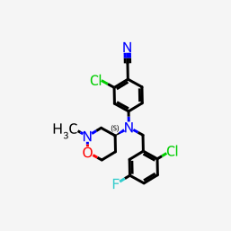 CN1C[C@@H](N(Cc2cc(F)ccc2Cl)c2ccc(C#N)c(Cl)c2)CCO1